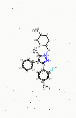 CCCC1CCC(Cn2nc(-c3ccc(C)cc3F)c(-c3ccccc3)c2CC)CC1